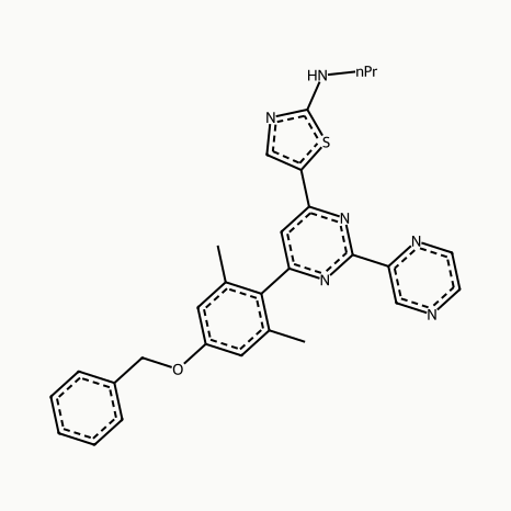 CCCNc1ncc(-c2cc(-c3c(C)cc(OCc4ccccc4)cc3C)nc(-c3cnccn3)n2)s1